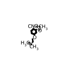 CN(C)CCOc1ccc(C#N)c(S(C)(=O)=O)c1